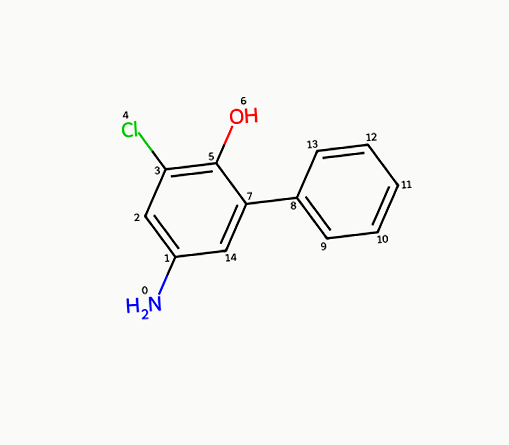 Nc1cc(Cl)c(O)c(-c2ccccc2)c1